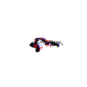 COc1cc(-c2scnc2C)ccc1[C@H](C)NC(=O)[C@@H]1C[C@@H](O)CN1C(=O)[C@@H](c1cc(OCCN2CCC(OC3CC(Oc4cc(N5C6CC[C@@H]5CN(c5cc(-c7ccccc7O)nnc5N)C6)ccn4)C3)CC2)no1)C(C)C